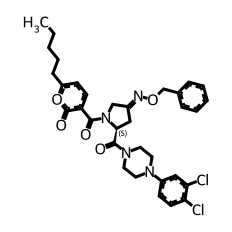 CCCCCc1ccc(C(=O)N2CC(=NOCc3ccccc3)C[C@H]2C(=O)N2CCN(c3ccc(Cl)c(Cl)c3)CC2)c(=O)o1